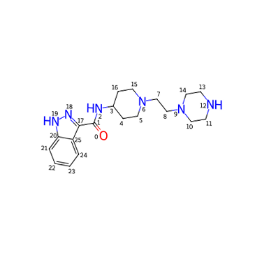 O=C(NC1CCN(CCN2CCNCC2)CC1)c1n[nH]c2ccccc12